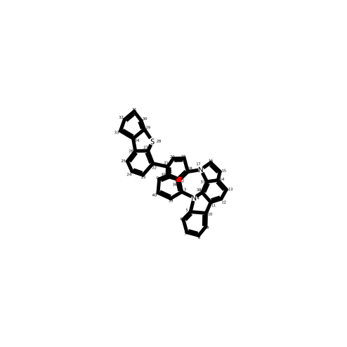 c1ccc(-n2c3ccccc3c3ccc4ccn(-c5ccc(-c6cccc7c6sc6ccccc67)cc5)c4c32)cc1